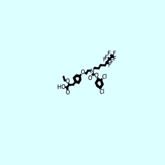 CCOC(Cc1ccc(OCCN(CCCCC(F)(F)C(F)(F)C(F)(F)F)C(=O)Oc2ccc(Cl)cc2Cl)cc1)C(=O)O